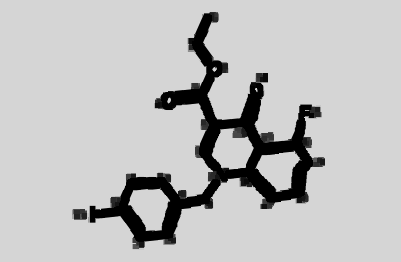 CCOC(=O)c1cn(Cc2ccc(I)cc2)c2cccc(F)c2c1=O